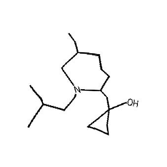 CC(C)CN1CC(C)CCC1C1(O)CC1